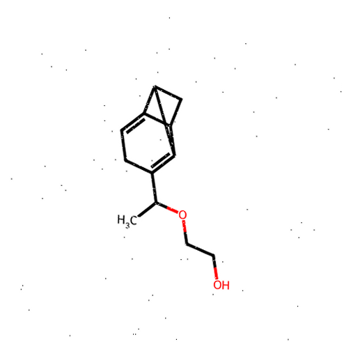 CC(OCCO)C1=C2C3CC2C3=CC1